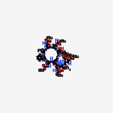 CCCCOP(=O)(CC(=O)N[C@@H](CCNC(=O)OC(C)(C)C)C(=O)N[C@H](C(=O)N[C@@H](CCNC(=O)OC(C)(C)C)C(=O)N[C@H]1CCNC(=O)[C@H]([C@H](C)O)NC(=O)[C@H](CCNC(=O)OC(C)(C)C)NC(=O)[C@H](CCNC(=O)OC(C)(C)C)NC(=O)[C@H](CC(C)C)NC(=O)[C@@H](Cc2ccccc2)NC(=O)[C@H](CCNC(=O)OC(C)(C)C)NC1=O)C(C)O)OCCCC